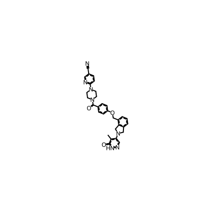 Cc1c(N2Cc3cccc(COc4ccc(C(=O)N5CCN(c6ccc(C#N)cn6)CC5)cc4)c3C2)cn[nH]c1=O